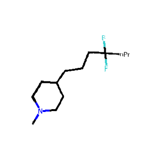 CCCC(F)(F)CCCC1CCN(C)CC1